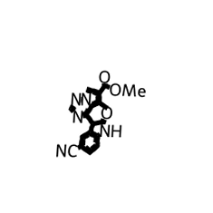 COC(=O)c1cn2ncnc(C3C(=O)Nc4ccc(C#N)cc43)c2c1C